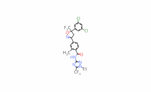 CCn1nc(NC(=O)c2ccc(C3=NOC(c4cc(Cl)cc(Cl)c4)(C(F)(F)F)C3)cc2C)nc1C(F)(F)F